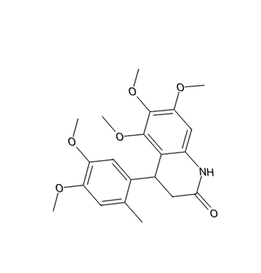 COc1cc(C)c(C2CC(=O)Nc3cc(OC)c(OC)c(OC)c32)cc1OC